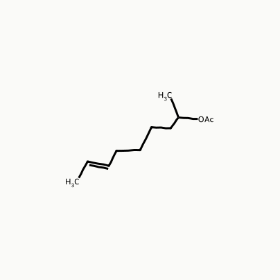 CC=CCCCCC(C)OC(C)=O